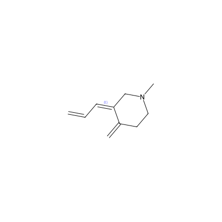 C=C/C=C1/CN(C)CCC1=C